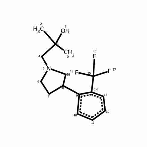 CC(C)(O)CN1CCC(c2ccccc2C(F)(F)F)C1